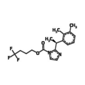 Cc1cccc([C@H](C)c2nccn2C(=O)OCCCC(F)(F)F)c1C